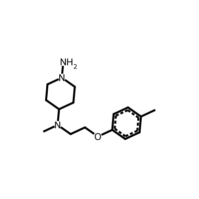 Cc1ccc(OCCN(C)C2CCN(N)CC2)cc1